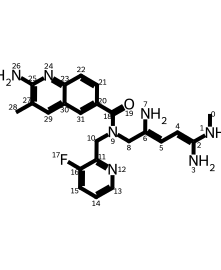 CN/C(N)=C/C=C(\N)CN(Cc1ncccc1F)C(=O)c1ccc2nc(N)c(C)cc2c1